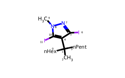 CCCCCCC(C)(CCCCC)c1c(I)nn(C)c1I